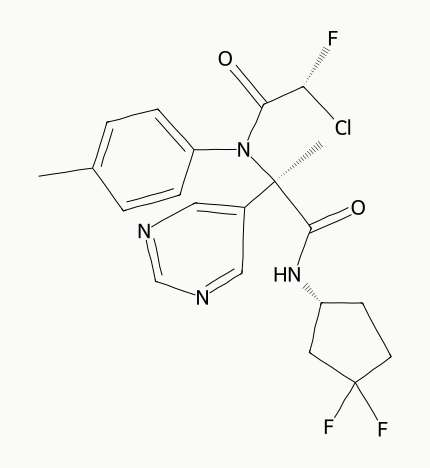 Cc1ccc(N(C(=O)[C@H](F)Cl)[C@@](C)(C(=O)N[C@@H]2CCC(F)(F)C2)c2cncnc2)cc1